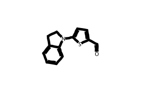 O=Cc1ccc(N2CCc3ccccc32)s1